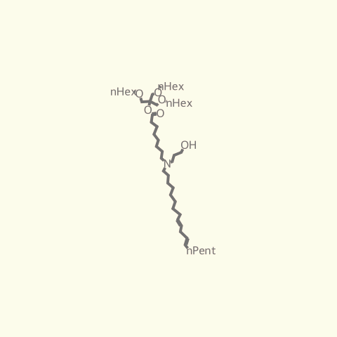 CCCCC/C=C/C/C=C/CCCCCCCCN(CCCO)CCCCCCCC(=O)OC(COCCCCCC)(COCCCCCC)COCCCCCC